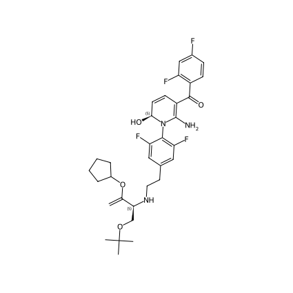 C=C(OC1CCCC1)[C@H](COC(C)(C)C)NCCc1cc(F)c(N2C(N)=C(C(=O)c3ccc(F)cc3F)C=C[C@@H]2O)c(F)c1